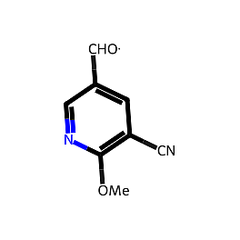 COc1ncc([C]=O)cc1C#N